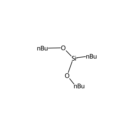 CCCCO[Si](CCCC)OCCCC